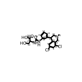 CN1Cc2c(Cl)cc(Cl)cc2C(c2cccc(NC(=O)NC(CO)C(O)O)c2)C1